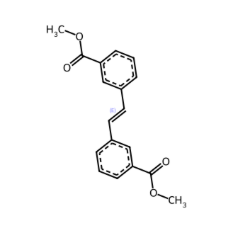 COC(=O)c1cccc(/C=C/c2cccc(C(=O)OC)c2)c1